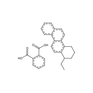 CCC1CCCc2c1ccc1c2ccc2ccccc21.O=C(O)c1ccccc1C(=O)O